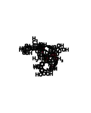 CN[C@H](CC(C)C)C(=O)N[C@H]1C(=O)N[C@@H](CC(N)=O)C(=O)N[C@H]2C(=O)N[C@H]3C(=O)N[C@H](C(=O)N[C@H](C(=O)O)c4cc(O)cc(O)c4-c4cc3ccc4O)[C@H](O)c3ccc(c(Cl)c3)Oc3cc2cc(c3O[C@@H]2O[C@H](CO)[C@@H](O)[C@H](O)[C@H]2O[C@H]2C[C@](C)(NC(=O)OCc3ccc(NC(=O)OCCCC(P(=O)(O)O)P(=O)(O)O)cc3)[C@H](O)[C@H](C)O2)Oc2ccc(cc2Cl)[C@H]1O